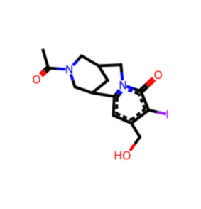 CC(=O)N1CC2CC(C1)c1cc(CO)c(I)c(=O)n1C2